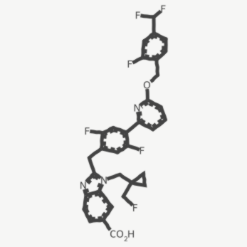 O=C(O)c1ccc2nc(Cc3cc(F)c(-c4cccc(OCc5ccc(C(F)F)cc5F)n4)cc3F)n(CC3(CF)CC3)c2c1